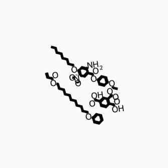 C=CC(=O)OCCCCCCCCCCCOc1ccccc1.CCCCCCCCOc1cc(N)c(C(=O)Oc2ccc(OC(C)OC(=O)c3cc(C(=O)O)ccc3C(=O)O)cc2)cc1[N+](=O)[O-]